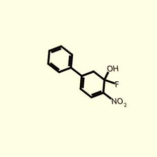 O=[N+]([O-])C1=CC=C(c2ccccc2)CC1(O)F